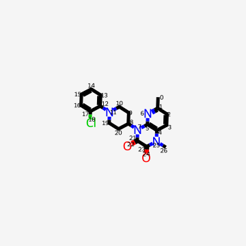 Cc1ccc2c(n1)n(C1CCN(c3ccccc3Cl)CC1)c(=O)c(=O)n2C